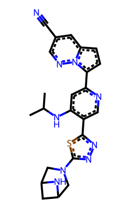 CC(C)Nc1cc(-c2ccc3cc(C#N)cnn23)ncc1-c1nnc(N2CC3CC(C2)N3)s1